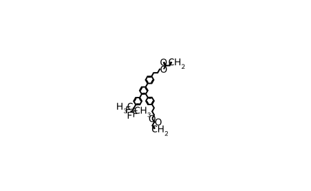 C=CC(=O)OCCCc1ccc(-c2ccc(-c3ccc(C(C)(C)C(F)(F)F)cc3)c(-c3ccc(CCCOC(=O)C=C)cc3)c2)cc1